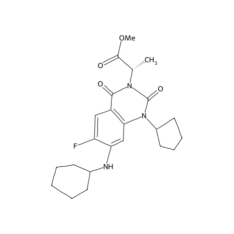 COC(=O)[C@H](C)n1c(=O)c2cc(F)c(NC3CCCCC3)cc2n(C2CCCC2)c1=O